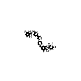 C[C@@H](Oc1cc(-c2cnn(C3CCN(Cc4cc(F)c5c(c4)CN(C4CCC(=O)NC4=O)C5=O)CC3)c2)cnc1N)c1c(Cl)ccc(F)c1Cl